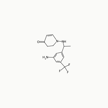 CC(NN1C=CC(=O)CC1)c1cc(N)cc(C(F)(F)F)c1